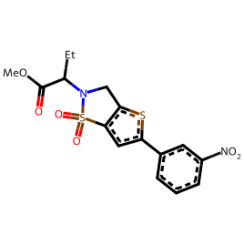 CCC(C(=O)OC)N1Cc2sc(-c3cccc([N+](=O)[O-])c3)cc2S1(=O)=O